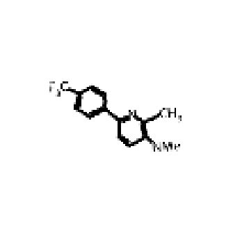 CNc1ccc(-c2ccc(C(F)(F)F)cc2)nc1C